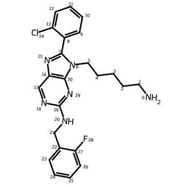 NCCCCCn1c(-c2ccccc2Cl)nc2cnc(NCc3ccccc3F)nc21